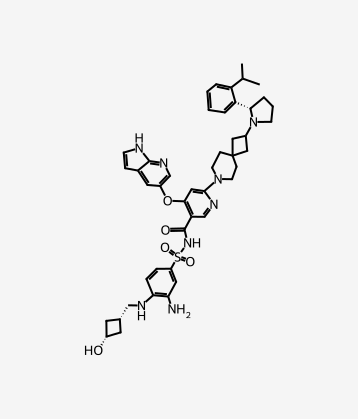 CC(C)c1ccccc1[C@@H]1CCCN1C1CC2(CCN(c3cc(Oc4cnc5[nH]ccc5c4)c(C(=O)NS(=O)(=O)c4ccc(NC[C@H]5C[C@@H](O)C5)c(N)c4)cn3)CC2)C1